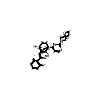 Fc1cccc(F)c1-c1cc2c(nn1)[C@]1(c3ccnc(N4CC5(CCO5)C4)n3)CC[C@H]2CC1